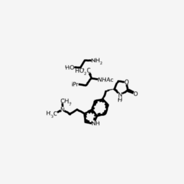 CC(=O)NC(CC(C)C)C(=O)O.CN(C)CCc1c[nH]c2ccc(C[C@H]3COC(=O)N3)cc12.NCCO